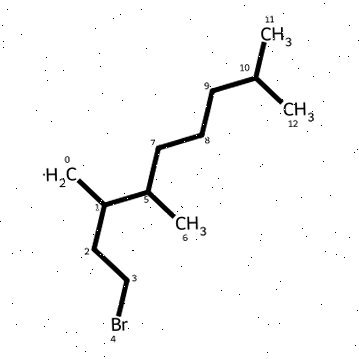 [CH2]C(CCBr)C(C)CCCC(C)C